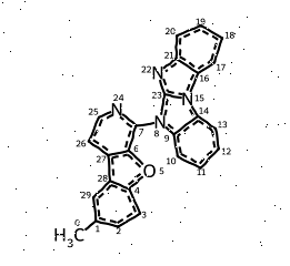 Cc1ccc2oc3c(-n4c5ccccc5n5c6ccccc6nc45)nccc3c2c1